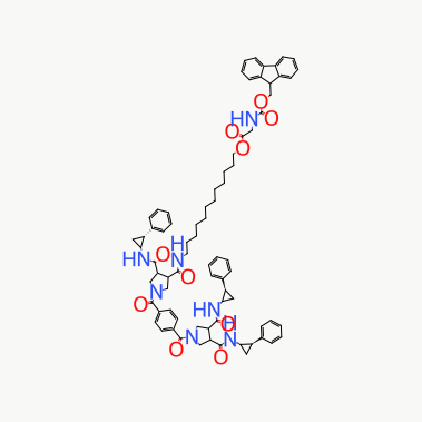 O=C(CNC(=O)OCC1c2ccccc2-c2ccccc21)OCCCCCCCCCCCCNC(=O)C1CN(C(=O)c2ccc(C(=O)N3CC(C(=O)N[C@@H]4C[C@@H]4c4ccccc4)C(C(=O)N[C@@H]4C[C@@H]4c4ccccc4)C3)cc2)CC1C(=O)N[C@@H]1C[C@@H]1c1ccccc1